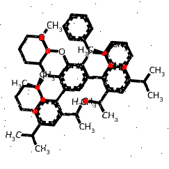 COCOc1c(P(c2ccccc2)c2ccccc2)c(-c2c(C(C)C)cc(C(C)C)cc2C(C)C)cc(-c2c(C(C)C)cc(C(C)C)cc2C(C)C)c1P(C1CCCCC1)C1CCCCC1